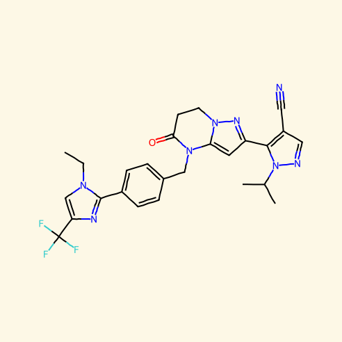 CCn1cc(C(F)(F)F)nc1-c1ccc(CN2C(=O)CCn3nc(-c4c(C#N)cnn4C(C)C)cc32)cc1